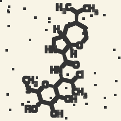 CSC1O[C@H]([C@H](NC(=O)[C@H]2NC[C@@H]3C[C@@H](C(C)C)CCO[C@H]32)[C@H](C)Cl)C(O)C(O)[C@H]1O